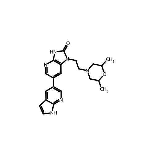 CC1CN(CCn2c(=O)[nH]c3ncc(-c4cnc5[nH]ccc5c4)cc32)CC(C)O1